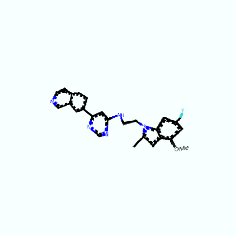 COc1cc(F)cc2c1cc(C)n2CCNc1cc(-c2ccc3ccncc3c2)ncn1